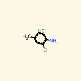 Cc1ccc(N)c(Cl)c1.Cl